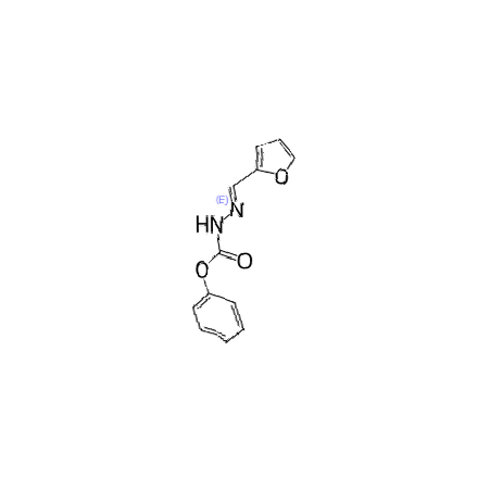 O=C(N/N=C/c1ccco1)Oc1ccccc1